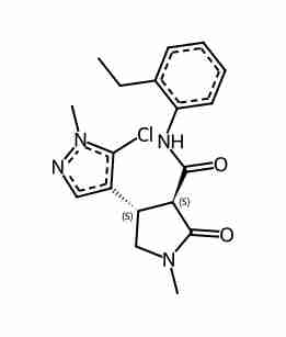 CCc1ccccc1NC(=O)[C@H]1C(=O)N(C)C[C@@H]1c1cnn(C)c1Cl